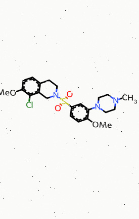 COc1ccc(S(=O)(=O)N2CCc3ccc(OC)c(Cl)c3C2)cc1N1CCN(C)CC1